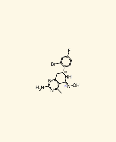 Cc1nc(N)nc2c1/C(=N/O)N[C@@H](c1ccc(F)cc1Br)C2